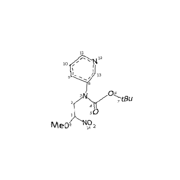 COC(CN(C(=O)OC(C)(C)C)c1cccnc1)[N+](=O)[O-]